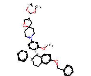 COc1cc(N2CCC3(CC2)C[C@@H](C(OC)OC)CO3)ccc1[C@@H]1c2ccc(OCc3ccccc3)cc2CC[C@@H]1c1ccccc1